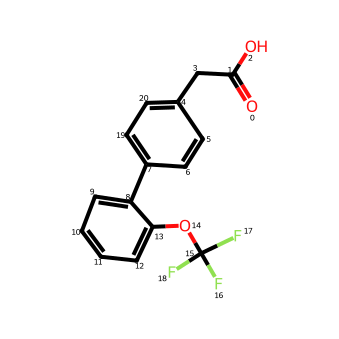 O=C(O)Cc1ccc(-c2ccccc2OC(F)(F)F)cc1